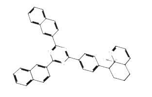 C1=CC2CCCC(c3ccc(-c4nc(-c5ccc6ccccc6c5)nc(-c5ccc6ccccc6c5)n4)cc3)[C@@H]2N=C1